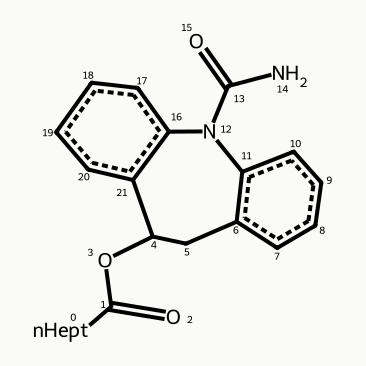 CCCCCCCC(=O)OC1Cc2ccccc2N(C(N)=O)c2ccccc21